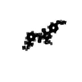 CCCOc1ccc(N2N=C(C)C(C(=O)Nc3cccc(C(C)(F)F)c3)C2=O)cc1